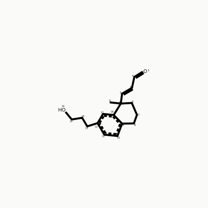 CC1(C=CC=O)CCCc2ccc(CCCO)cc21